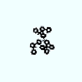 CC1(c2ccccc2)c2cc(N(c3ccc(C4=C5Sc6ccccc6C5CC=C4)cc3)c3ccc4c(c3)C(c3ccccc3)(c3ccccc3)c3ccccc3-4)ccc2-c2c(-c3ccccc3)cccc21